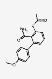 COc1ccc(-c2cccc(OC(C)=O)c2C(N)=O)cc1